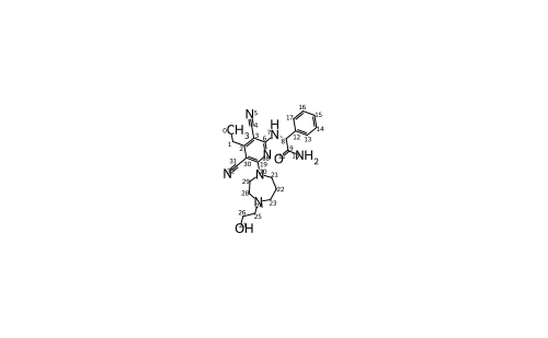 CCc1c(C#N)c(N[C@@H](C(N)=O)c2ccccc2)nc(N2CCCN(CCO)CC2)c1C#N